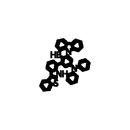 B1c2c(-c3cccc4c3[nH]c3sc5ccccc5c34)cc(N(c3ccccc3)c3ccccc3)cc2-n2c3ccccc3c3cccc1c32